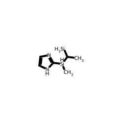 CC([SiH3])[SiH](C)c1ncc[nH]1